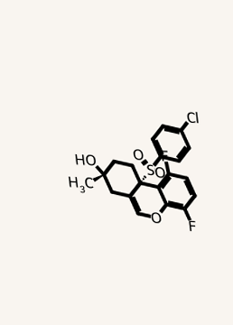 C[C@@]1(O)CC[C@]2(S(=O)(=O)c3ccc(Cl)cc3)C(=COc3c(F)ccc(F)c32)C1